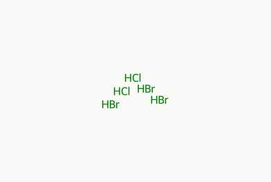 Br.Br.Br.Cl.Cl